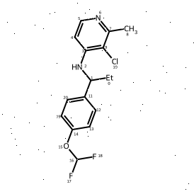 CCC(Nc1ccnc(C)c1Cl)c1ccc(OC(F)F)cc1